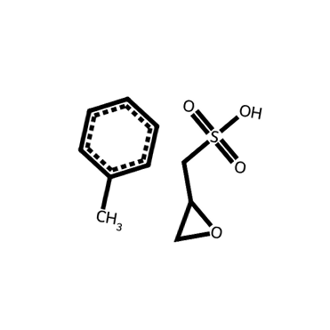 Cc1ccccc1.O=S(=O)(O)CC1CO1